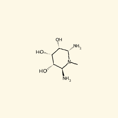 CN1[C@@H](N)[C@H](O)[C@H](O)[C@H](O)[C@@H]1N